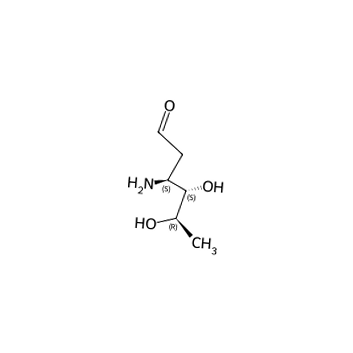 C[C@@H](O)[C@@H](O)[C@@H](N)CC=O